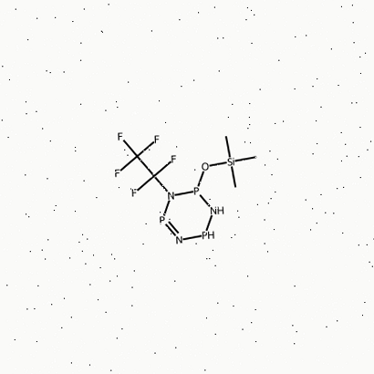 C[Si](C)(C)Op1[nH][pH]npn1C(F)(F)C(F)(F)F